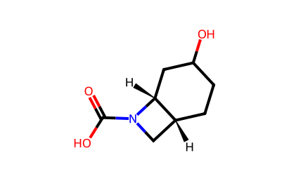 O=C(O)N1C[C@H]2CCC(O)C[C@H]21